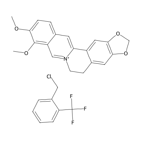 COc1ccc2cc3[n+](cc2c1OC)CCc1cc2c(cc1-3)OCO2.FC(F)(F)c1ccccc1CCl